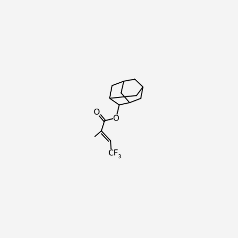 CC(=CC(F)(F)F)C(=O)OC1C2CC3CC(C2)CC1C3